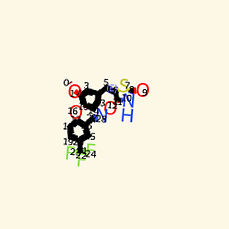 COc1cc(/C=C2/SC(=O)NC2=O)ccc1Oc1ccc(C(F)(F)F)cc1C#N